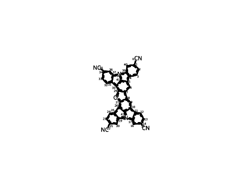 N#Cc1ccc2c3cc4c5cc6c7ccc(C#N)cc7n7c8cc(C#N)ccc8c(c5oc4c4c5ccc(C#N)cc5n(c2c1)c34)c67